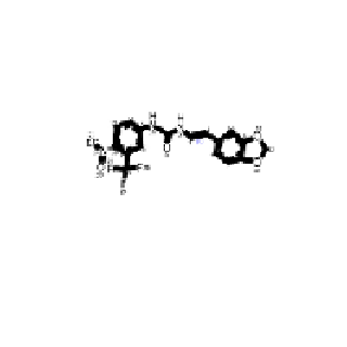 O=C(N/C=C/c1ccc2c(c1)OCO2)Nc1ccc([N+](=O)[O-])c(C(F)(F)F)c1